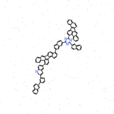 c1cc(-c2ccc3ccccc3c2)cc(-c2cnc3ccc(-c4ccc5c6c(cc7ccccc7c46)-c4ccc6c(-c7ccc8ccc(-c9nc(-c%10ccc%11ccccc%11c%10)nc(-c%10ccc%11c%12c(cc%13ccccc%13c%10%12)-c%10ccc%12ccccc%12c%10-%11)n9)cc8c7)cccc6c4-5)cc3c2)c1